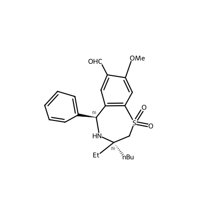 CCCC[C@@]1(CC)CS(=O)(=O)c2cc(OC)c(C=O)cc2[C@H](c2ccccc2)N1